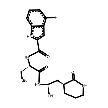 CC(C)(C)C[C@H](NC(=O)c1cc2c(F)cccc2[nH]1)C(=O)N[C@H](C#N)C[C@@H]1CCCNC1=O